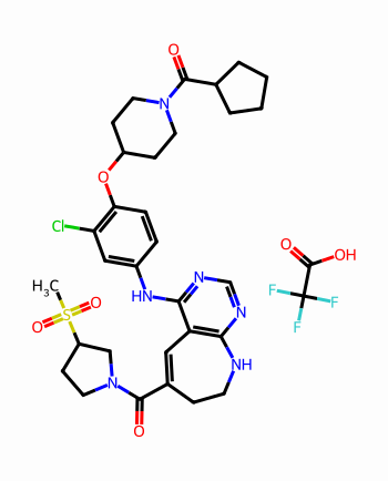 CS(=O)(=O)C1CCN(C(=O)C2=Cc3c(ncnc3Nc3ccc(OC4CCN(C(=O)C5CCCC5)CC4)c(Cl)c3)NCC2)C1.O=C(O)C(F)(F)F